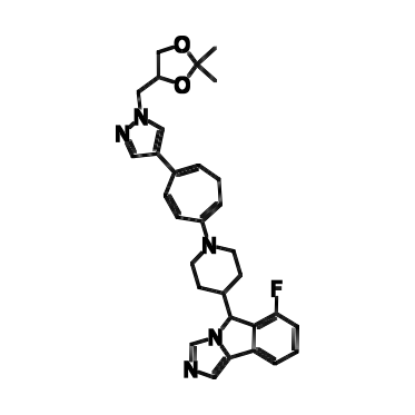 CC1(C)OCC(Cn2cc(C3=CCC=C(N4CCC(C5c6c(F)cccc6-c6cncn65)CC4)C=C3)cn2)O1